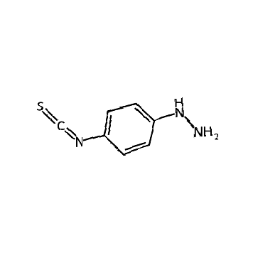 NNc1ccc(N=C=S)cc1